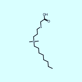 CCCCCCCC[Si](C)(C)CCCSCC(=O)O